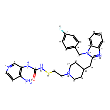 Nc1ccncc1NC(=O)NSCCN1CCC(Cc2nc3ccccc3n2Cc2ccc(F)cc2)CC1